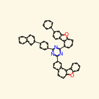 c1ccc(-c2ccc3c(c2)oc2cccc(-c4nc(-c5ccc(-c6ccc7ccccc7c6)cc5)nc(-c5ccc6ccc7oc8ccccc8c7c6c5)n4)c23)cc1